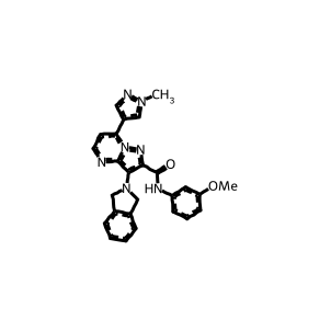 COc1cccc(NC(=O)c2nn3c(-c4cnn(C)c4)ccnc3c2N2Cc3ccccc3C2)c1